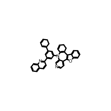 C1=CCCC(c2cc(-c3ccc4ccccc4n3)cc(N3C4=C(CCC=C4)c4c(oc5ccccc45)-c4ccncc43)c2)=C1